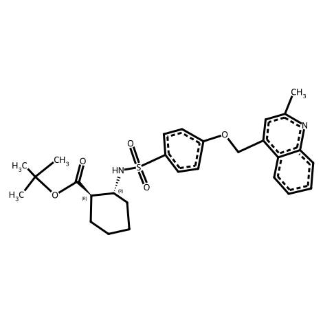 Cc1cc(COc2ccc(S(=O)(=O)N[C@@H]3CCCC[C@H]3C(=O)OC(C)(C)C)cc2)c2ccccc2n1